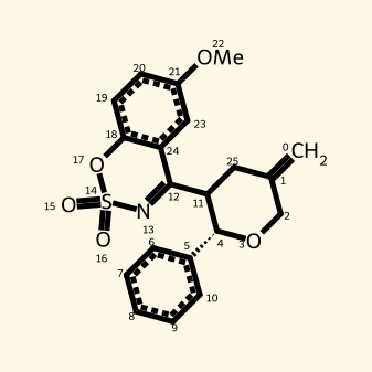 C=C1CO[C@H](c2ccccc2)C(C2=NS(=O)(=O)Oc3ccc(OC)cc32)C1